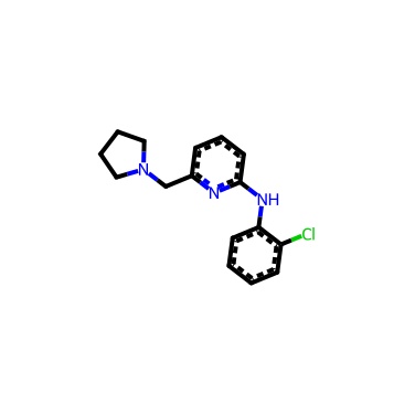 Clc1ccccc1Nc1cccc(CN2CCCC2)n1